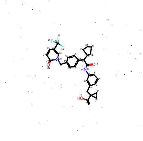 C=C(O)C1(Cc2cccc(NC(=O)C(c3ccc(Cn4cc(C(F)(F)F)ccc4=O)cc3)C3CCCC3)c2)CC1